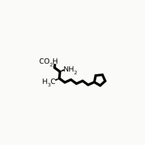 C[C@H](CCCCCC1CCCC1)[C@H](N)CC(=O)O